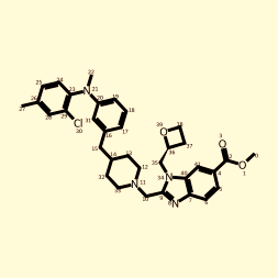 COC(=O)c1ccc2nc(CN3CCC(Cc4cccc(N(C)c5ccc(C)cc5Cl)c4)CC3)n(C[C@@H]3CCO3)c2c1